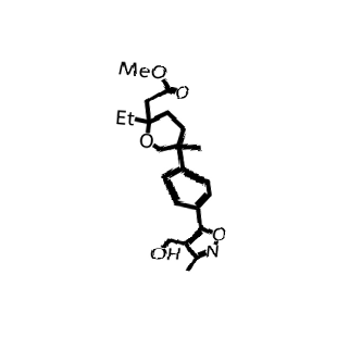 CCC1(CC(=O)OC)CCC(C)(c2ccc(-c3onc(C)c3CO)cc2)CO1